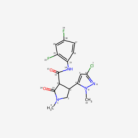 CN1CC(c2cc(Cl)nn2C)C(C(=O)Nc2ccc(F)cc2F)C1=O